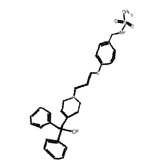 CS(=O)(=O)NCc1ccc(OCCCN2CCC(C(O)(c3ccccc3)c3ccccc3)CC2)cc1